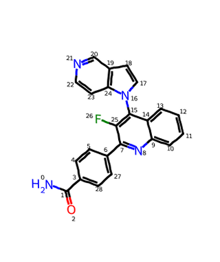 NC(=O)c1ccc(-c2nc3ccccc3c(-n3ccc4cnccc43)c2F)cc1